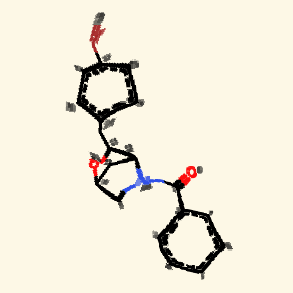 O=C(c1ccccc1)N1CC2CC1C(c1ccc(Br)cc1)O2